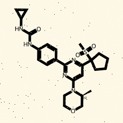 C[C@H]1COCCN1c1cc(C2(S(C)(=O)=O)CCCC2)nc(-c2ccc(NC(=O)NC3CC3)cc2)n1